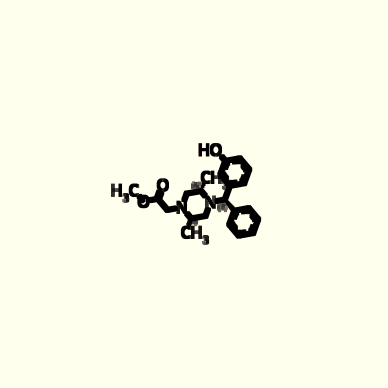 COC(=O)CN1C[C@H](C)N([C@H](c2ccccc2)c2cccc(O)c2)C[C@H]1C